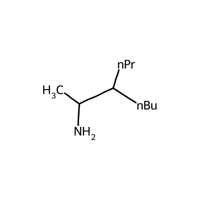 CCCCC(CCC)C(C)N